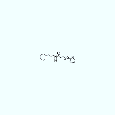 O=C(CCSSc1ccccn1)NCCCC1CCCCCC1